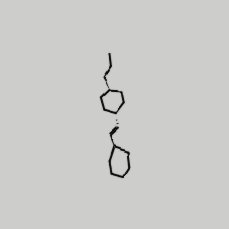 CCC[C@H]1CC[C@H](C=CC2CCCCC2)CC1